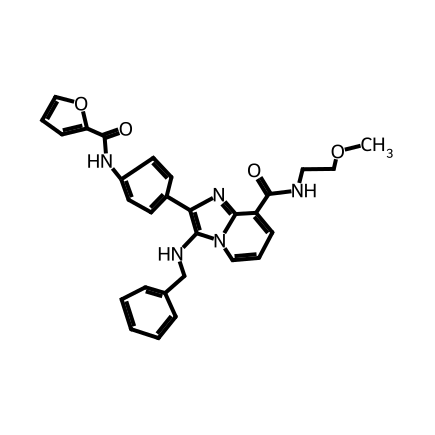 COCCNC(=O)c1cccn2c(NCc3ccccc3)c(-c3ccc(NC(=O)c4ccco4)cc3)nc12